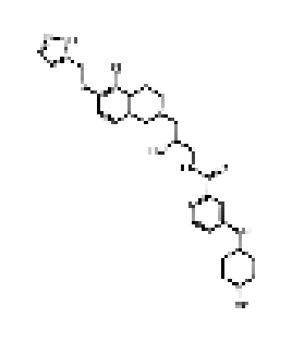 CC(=O)N1CCC(Nc2cc(C(=O)NCC(O)CN3CCc4c(ccc(OCc5cnn[nH]5)c4Cl)C3)ncn2)CC1